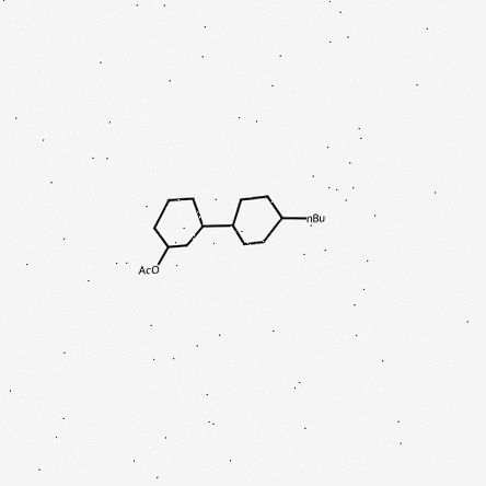 CCCCC1CCC(C2CCCC(OC(C)=O)C2)CC1